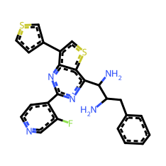 NC(Cc1ccccc1)C(N)c1nc(-c2ccncc2F)nc2c(-c3ccsc3)csc12